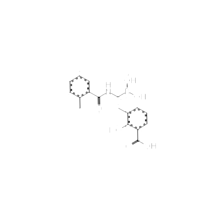 Cc1ccccc1C(=O)N[C@@H](Cc1cccc(C(=O)O)c1O)B(O)O